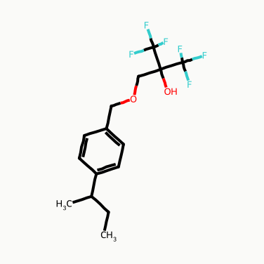 CCC(C)c1ccc(COCC(O)(C(F)(F)F)C(F)(F)F)cc1